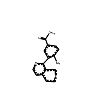 COC(=O)c1ccc(O)c(-c2nccc3ccccc23)c1